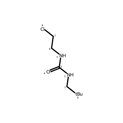 CC(C)(C)CNC(=O)NCCCl